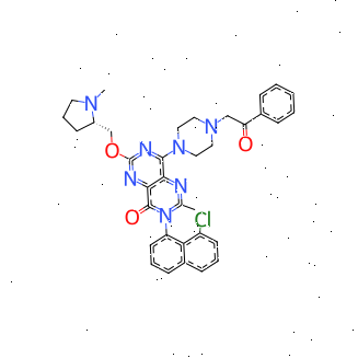 Cc1nc2c(N3CCN(CC(=O)c4ccccc4)CC3)nc(OC[C@@H]3CCCN3C)nc2c(=O)n1-c1cccc2cccc(Cl)c12